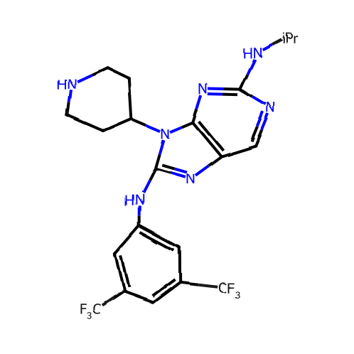 CC(C)Nc1ncc2nc(Nc3cc(C(F)(F)F)cc(C(F)(F)F)c3)n(C3CCNCC3)c2n1